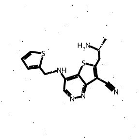 C[C@H](N)Cc1sc2c(NCc3cccs3)cnnc2c1C#N